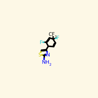 Nc1nc(C2C=CC(F)(C(F)(F)F)C=C2F)cs1